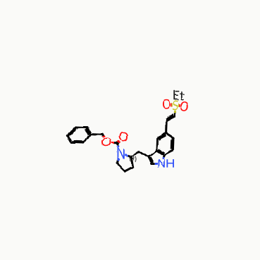 CCS(=O)(=O)C=Cc1ccc2[nH]cc(C[C@H]3CCCN3C(=O)OCc3ccccc3)c2c1